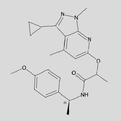 COc1ccc([C@H](C)NC(=O)C(C)Oc2cc(C)c3c(C4CC4)nn(C)c3n2)cc1